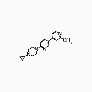 Cc1cc(-c2ccc(N3CCN(C4CC4)CC3)nc2)ccn1